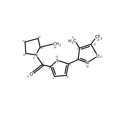 Cc1c(-c2ccc(C(=O)N3CCCC3C)s2)noc1C(F)(F)F